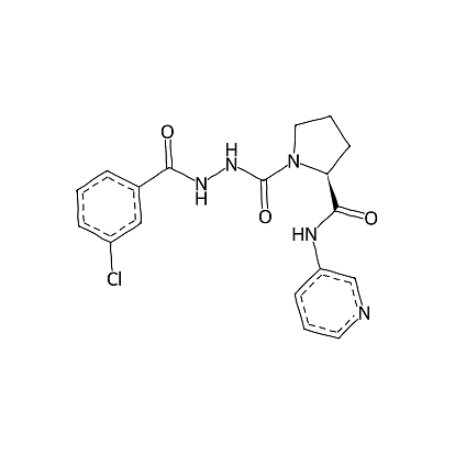 O=C(NNC(=O)N1CCC[C@H]1C(=O)Nc1cccnc1)c1cccc(Cl)c1